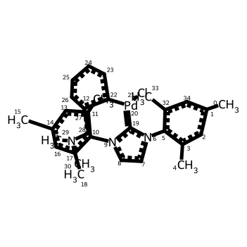 Cc1cc(C)c(-n2ccn(-c3c(C)cc(C)cc3C)[c]2=[Pd]([Cl])[c]2ccccc2CN(C)C)c(C)c1